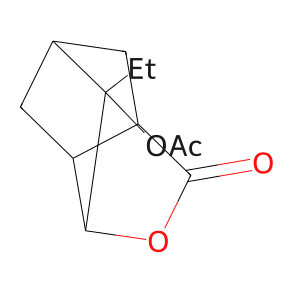 CCC1(OC(C)=O)C2CC3C(=O)OC1C3C2